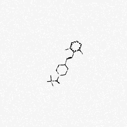 Cc1cccc(C)c1/C=C/C1CCN(C(=O)C(C)(C)N)CC1.Cl